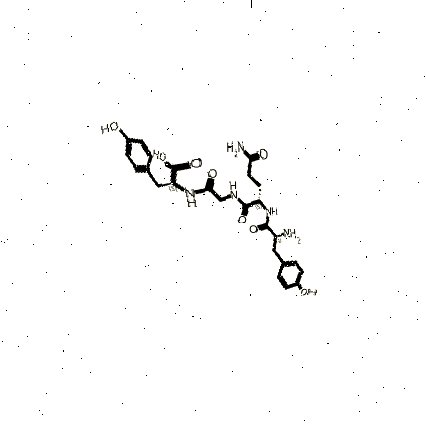 NC(=O)CC[C@H](NC(=O)[C@@H](N)Cc1ccc(O)cc1)C(=O)NCC(=O)N[C@@H](Cc1ccc(O)cc1)C(=O)O